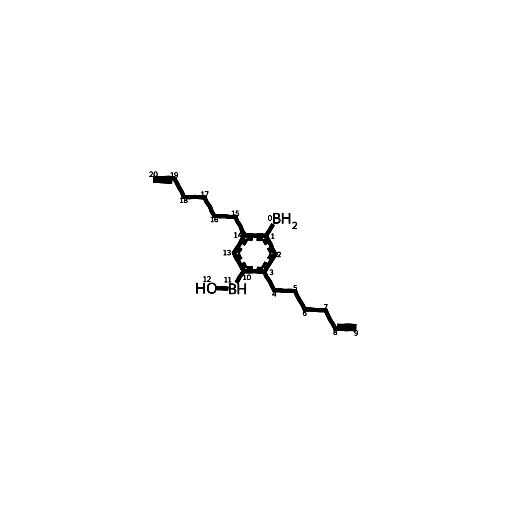 Bc1cc(CCCCC=C)c(BO)cc1CCCCC=C